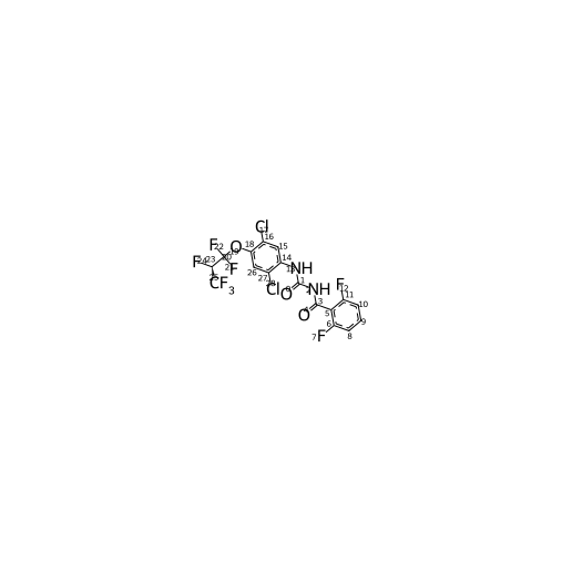 O=C(NC(=O)c1c(F)cccc1F)Nc1cc(Cl)c(OC(F)(F)[C@H](F)C(F)(F)F)cc1Cl